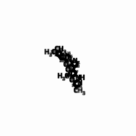 Cc1ccc(Nc2cc(-c3ccnc(-n4ccn5c6c(cc5c4=O)CC(C)(C)C6)c3CO)cn(C)c2=O)nc1